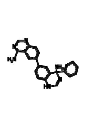 Nc1ncnc2ccc(-c3ccc4c(c3)C(N)(c3ccccc3)N=CN4)cc12